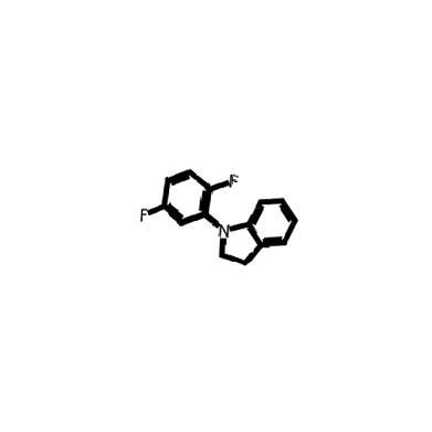 Fc1ccc(F)c(N2CCc3ccccc32)c1